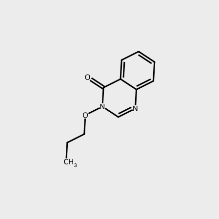 CCCOn1cnc2ccccc2c1=O